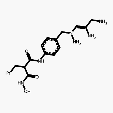 CC(C)CC(C(=O)NO)C(=O)Nc1ccc(CN(N)/C=C(\N)CN)cc1